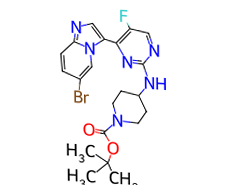 CC(C)(C)OC(=O)N1CCC(Nc2ncc(F)c(-c3cnc4ccc(Br)cn34)n2)CC1